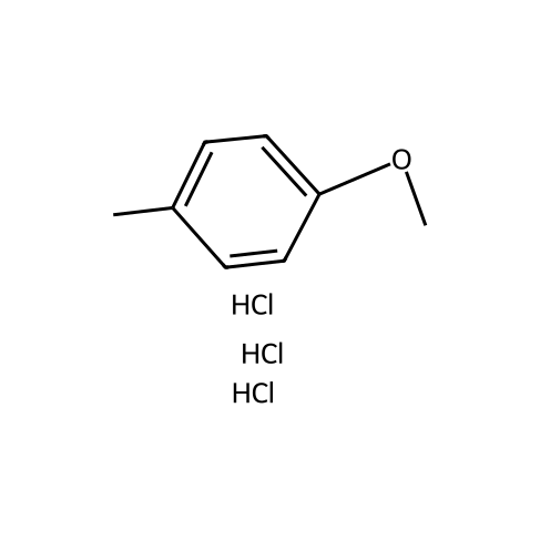 COc1ccc(C)cc1.Cl.Cl.Cl